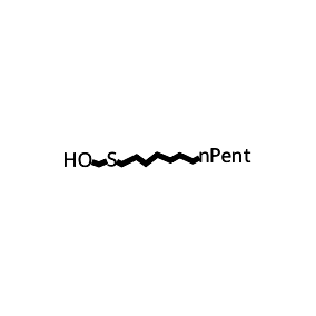 CCCCCCCCCCCCSCO